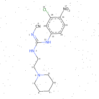 N#CN=C(NCCN1CCCCC1)Nc1ccc([N+](=O)[O-])c(Cl)c1